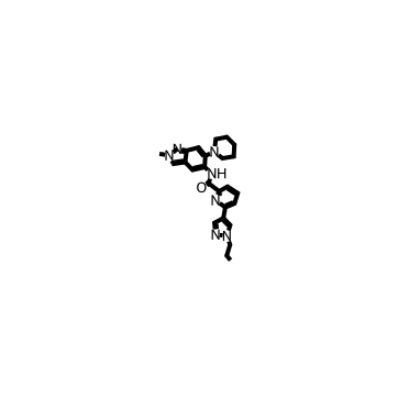 CCCn1cc(-c2cccc(C(=O)Nc3cc4cn(C)nc4cc3N3CCCCC3)n2)cn1